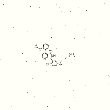 C[C@H](CCCCN)c1ccc(Cl)c(CNC2(c3cnccc3-c3ccccc3OC3CC3)CC2)c1